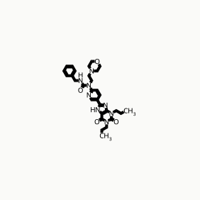 CCCn1c(=O)c2[nH]c(-c3ccc(N(CCN4CCOCC4)C(=O)NCc4ccccc4)nc3)nc2n(CCC)c1=O